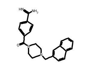 N=C(N)c1ccc(C(=O)N2CCN(Cc3ccc4ccccc4c3)CC2)cc1